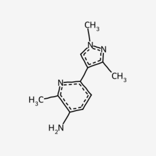 Cc1nc(-c2cn(C)nc2C)ccc1N